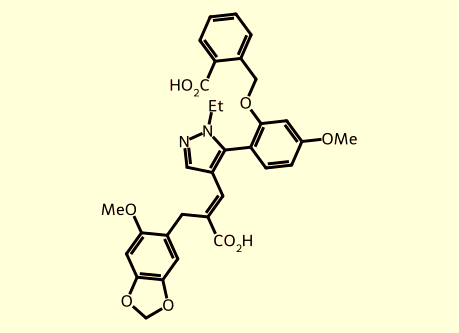 CCn1ncc(/C=C(\Cc2cc3c(cc2OC)OCO3)C(=O)O)c1-c1ccc(OC)cc1OCc1ccccc1C(=O)O